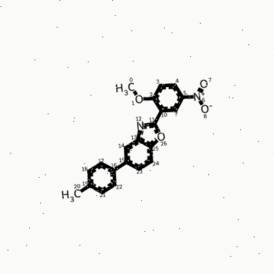 COc1ccc([N+](=O)[O-])cc1-c1nc2cc(-c3ccc(C)cc3)ccc2o1